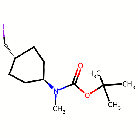 CN(C(=O)OC(C)(C)C)[C@H]1CC[C@H](CI)CC1